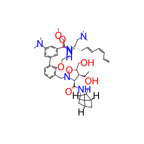 C=C/C=C\C=C\C[C@@H](CN(C)C)NC(=O)c1cc(-c2cccc(CN3OC(CO)[C@@H](C(C)O)[C@H]3C(=O)N[C@H]3C[C@H]4C[C@@H](C3C)C4(C)C)c2OCCN(C)CCOC)cc(N(C)C)c1